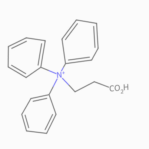 O=C(O)CC[N+](c1ccccc1)(c1ccccc1)c1ccccc1